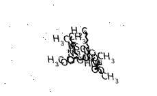 C=CCCCCN(C)C(=O)N1C[C@H](Oc2cc(-c3nc(C(C)C)cs3)nc3cc(OC)ccc23)C[C@H]1C(=O)N[C@]1(C(=O)OCC)C[C@H]1CC